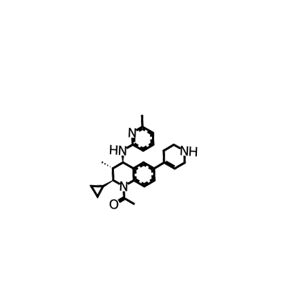 CC(=O)N1c2ccc(C3=CCNCC3)cc2[C@H](Nc2cccc(C)n2)[C@@H](C)[C@@H]1C1CC1